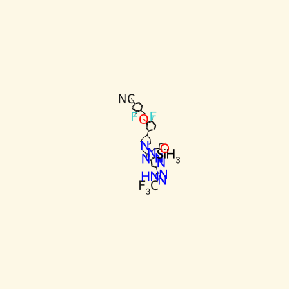 N#Cc1ccc(COc2cc(C3CCN(Cc4nc5cc(-c6nnc(C(F)(F)F)[nH]6)nnc5n4C[C@]4([SiH3])CCO4)CC3)ccc2F)c(F)c1